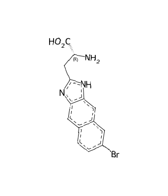 N[C@H](Cc1nc2cc3ccc(Br)cc3cc2[nH]1)C(=O)O